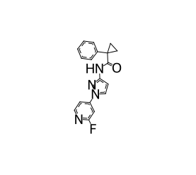 O=C(Nc1ccn(-c2ccnc(F)c2)n1)C1(c2ccccc2)CC1